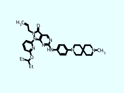 C=CCn1c(=O)c2cnc(Nc3ccc(N4CCC5(CCN(C)CC5)CC4)cc3)nc2n1-c1cccc(OC(CC)CC)n1